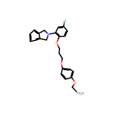 O=C(O)COc1ccc(OCCCOc2ccc(Cl)cc2N2Cc3ccccc3C2)cc1